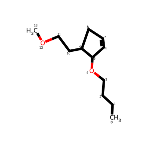 CCCCOC1C=CCC1CCOC